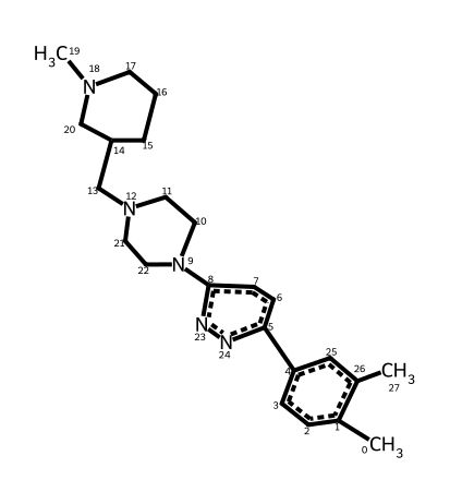 Cc1ccc(-c2ccc(N3CCN(CC4CCCN(C)C4)CC3)nn2)cc1C